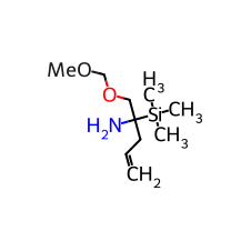 C=CCC(N)(COCOC)[Si](C)(C)C